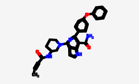 CC#CC(=O)NC1CCCN(c2nc(-c3ccc(Oc4ccccc4)cc3)c(C(N)=O)c3[nH]ccc23)C1